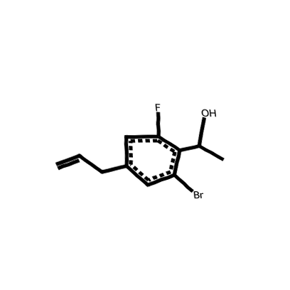 C=CCc1cc(F)c(C(C)O)c(Br)c1